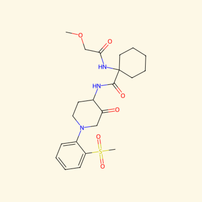 COCC(=O)NC1(C(=O)NC2CCN(c3ccccc3S(C)(=O)=O)CC2=O)CCCCC1